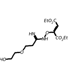 CCOC(=O)C=C(ONC(=N)CCOCCO)C(=O)OCC